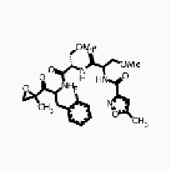 COCC(NC(=O)c1cc(C)on1)C(=O)N[C@@H](COC)C(=O)NC(Cc1ccccc1F)C(=O)C1(C)CO1